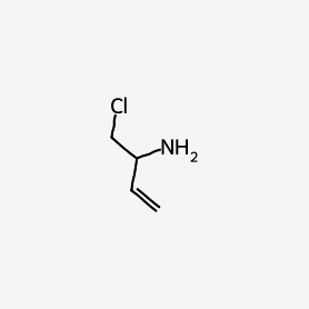 C=CC(N)CCl